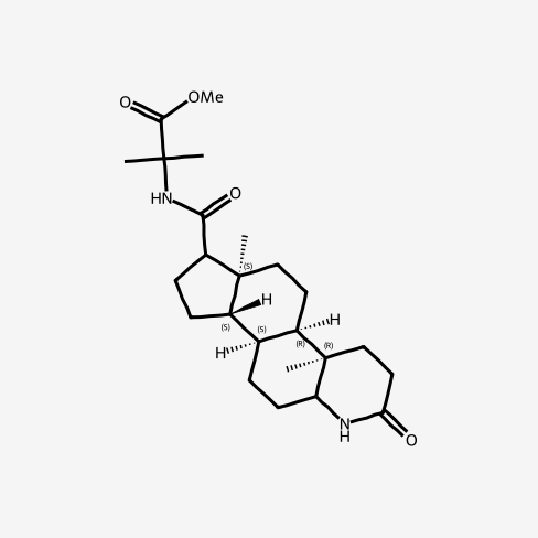 COC(=O)C(C)(C)NC(=O)C1CC[C@H]2[C@@H]3CCC4NC(=O)CC[C@]4(C)[C@@H]3CC[C@]12C